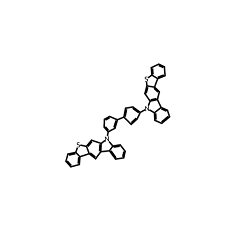 c1cc(-c2ccc(-n3c4ccccc4c4cc5c(cc43)sc3ccccc35)cc2)cc(-n2c3ccccc3c3cc4c(cc32)sc2ccccc24)c1